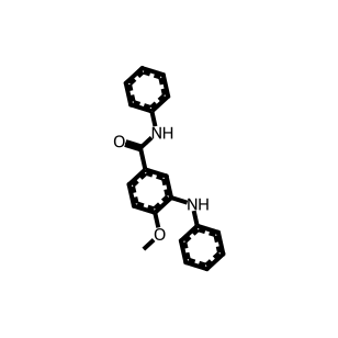 COc1ccc(C(=O)Nc2ccccc2)cc1Nc1ccccc1